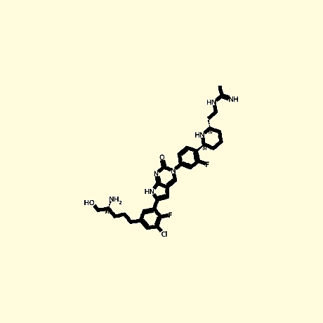 CC(=N)NCC[C@@H]1CCC[C@@H](c2ccc(-n3cc4cc(-c5cc(CCC[C@@H](N)CO)cc(Cl)c5F)[nH]c4nc3=O)cc2F)N1